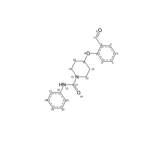 O=Cc1ccccc1OC1CCN(C(=O)Nc2ccccc2)CC1